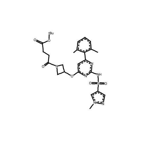 Cc1cccc(C)c1-c1cc(OC2CN(C(=O)CCC(=O)OC(C)(C)C)C2)nc(NS(=O)(=O)c2cnn(C)c2)n1